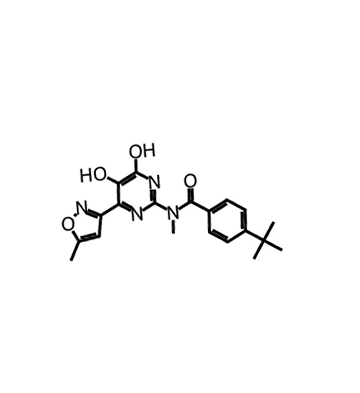 Cc1cc(-c2nc(N(C)C(=O)c3ccc(C(C)(C)C)cc3)nc(O)c2O)no1